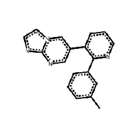 Cc1cccc(-c2ncccc2-c2cnc3nccn3c2)c1